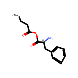 CCCCCCCCCCCC(=O)OC(=O)[C@@H](N)Cc1ccccc1